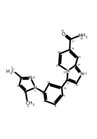 Cc1cc(C)n(-c2cccc(-c3cnc4cc(C(N)=O)ccn34)c2)n1